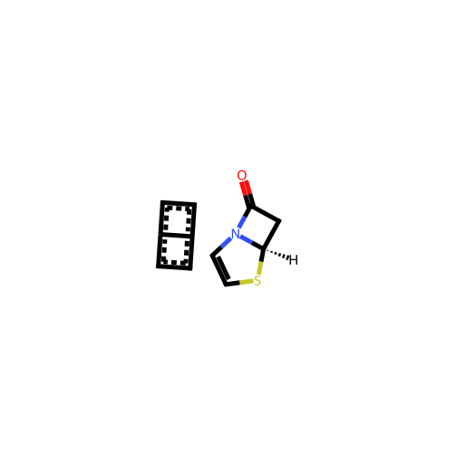 O=C1C[C@H]2SC=CN12.c1cc2ccc1-2